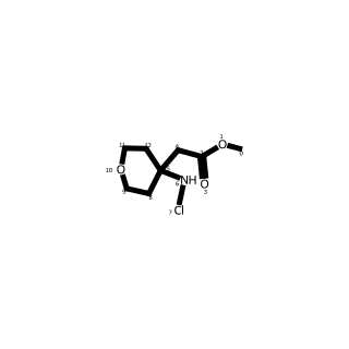 COC(=O)CC1(NCl)CCOCC1